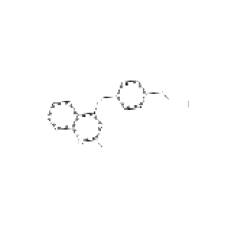 Cc1cc(Nc2ccc(CC(=O)O)cc2)c2ccccc2n1